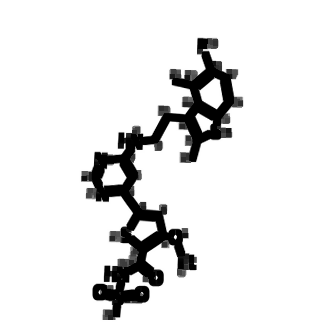 CCOc1cc(-c2cc(NCCc3c(C)sc4ccc(F)c(C)c34)ncn2)sc1C(=O)NS(C)(=O)=O